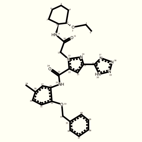 CCO[C@H]1CCCC[C@@H]1NC(=O)Cn1nc(-c2nnn[nH]2)cc1C(=O)Nc1cc(C)ccc1OCc1ccccc1